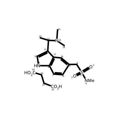 CNS(=O)(=O)Cc1ccc2[nH]cc(C(C)N(C)C)c2c1.O=C(O)CCC(=O)O